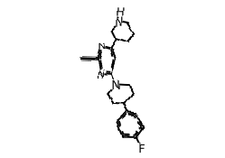 Cc1nc(C2CCCNC2)cc(N2CC[C](c3ccc(F)cc3)CC2)n1